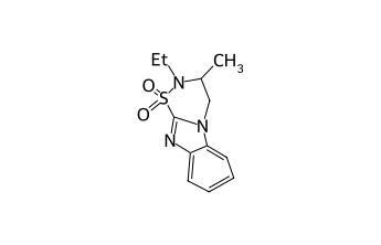 CCN1C(C)Cn2c(nc3ccccc32)S1(=O)=O